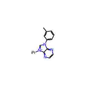 Cc1cccc(-n2c[n+](C(C)C)c3nccnc32)c1